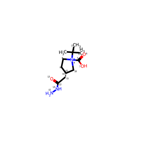 CC(C)(C)[N+]1(C(=O)O)CC[C@@H](CC(=O)NN)C1